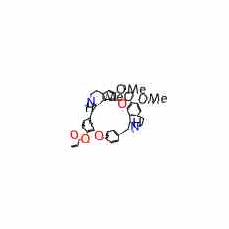 C=CC(=O)Oc1ccc2cc1Oc1ccc(cc1)C[C@H]1c3c(cc(OC)c(OC)c3Oc3cc4c(cc3OC)CCN(C)[C@@H]4C2)CCN1C